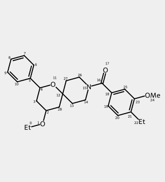 CCOC1CC(c2ccccc2)OC2(CCN(C(=O)c3ccc(CC)c(OC)c3)CC2)C1